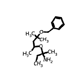 CCC(C)(N)OC(C)CC(C)(C)OCc1ccccc1